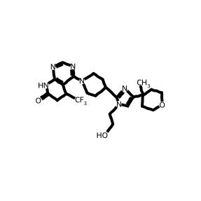 CC1(c2cn(CCO)c(C3CCN(c4ncnc5c4C(C(F)(F)F)CC(=O)N5)CC3)n2)CCOCC1